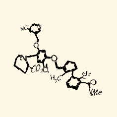 CNC(=O)c1cccc(-c2cccc(COc3cc(OCc4cncc(C#N)c4)c(CN4CCCC[C@H]4C(=O)O)cc3Cl)c2C)c1C